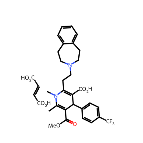 COC(=O)C1=C(C)N(C)C(CCN2CCc3ccccc3CC2)=C(C(=O)O)C1c1ccc(C(F)(F)F)cc1.O=C(O)/C=C/C(=O)O